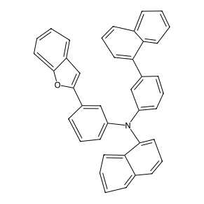 c1cc(-c2cc3ccccc3o2)cc(N(c2cccc(-c3cccc4ccccc34)c2)c2cccc3ccccc23)c1